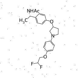 CC(=O)N[C@@H](C)c1ccc(OC2CCN(c3ccc(OCC(F)F)cc3)C2)cc1